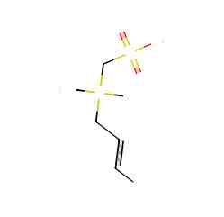 C/C=C/CS(C)(C)CS(=O)(=O)O